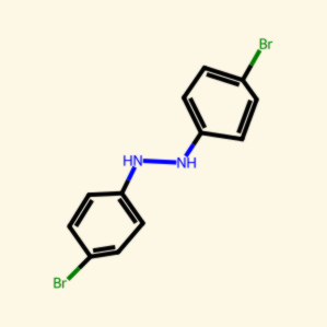 Brc1ccc(NNc2ccc(Br)cc2)cc1